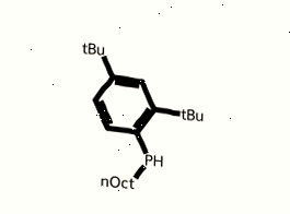 CCCCCCCCPc1ccc(C(C)(C)C)cc1C(C)(C)C